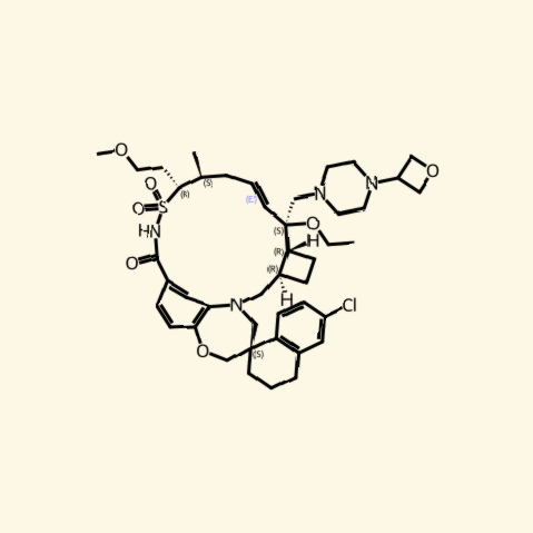 CCO[C@]1(CN2CCN(C3COC3)CC2)/C=C/C[C@H](C)[C@@H](CCOC)S(=O)(=O)NC(=O)c2ccc3c(c2)N(C[C@@H]2CC[C@H]21)C[C@@]1(CCCc2cc(Cl)ccc21)CO3